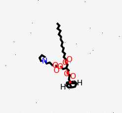 CCCCCCCCCCCCCC(=O)OCC(COC(=O)CC12CC3C[C@H](C1)C[C@@H](C3)C2)COC(=O)OCCCN1CCCC1